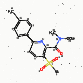 CCS(=O)(=O)c1ccc(-c2ccc(C(F)(F)F)cc2)nc1C(=O)N(C)OC